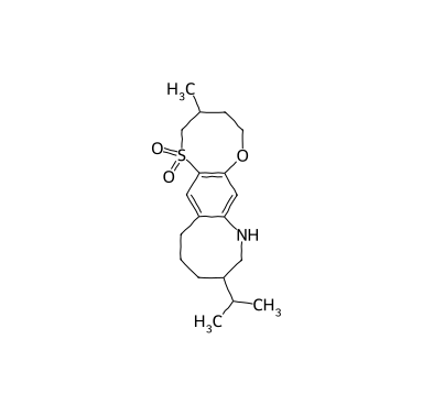 CC1CCOc2cc3c(cc2S(=O)(=O)C1)CCCC(C(C)C)CN3